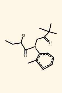 CCC(Cl)C(=O)N(CC(=O)C(C)(C)C)c1ccccc1C